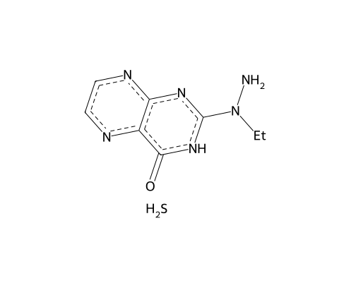 CCN(N)c1nc2nccnc2c(=O)[nH]1.S